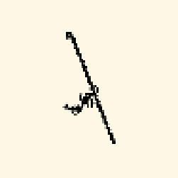 CCCCCCCCCCCCCCCCCCC(COC(=O)NCCC(C)(C)OCCC(C)C)OCCCCCCCCCCCCCCCCCCC1CCC1